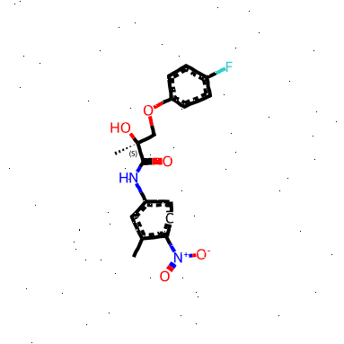 Cc1cc(NC(=O)[C@@](C)(O)COc2ccc(F)cc2)ccc1[N+](=O)[O-]